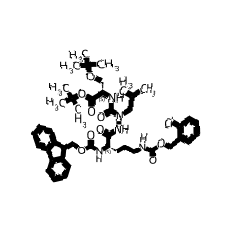 CC(C)CN(NC(=O)[C@H](CCCNC(=O)OCc1ccccc1Cl)NC(=O)OCC1c2ccccc2-c2ccccc21)C(=O)N[C@@H](COC(C)(C)C)C(=O)OC(C)(C)C